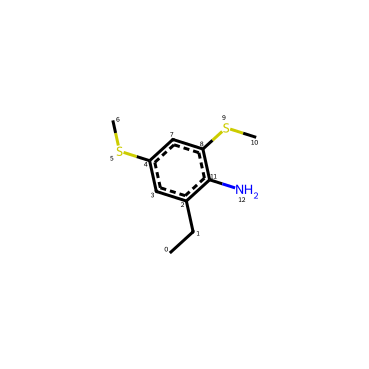 CCc1cc(SC)cc(SC)c1N